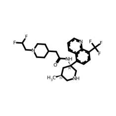 C[C@@H]1CNC[C@](NC(=O)CC2CCN(CC(F)F)CC2)(c2ccc(C(F)(F)F)c3ncccc23)C1